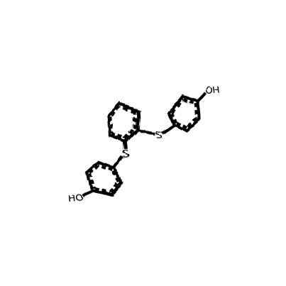 Oc1ccc(Sc2ccccc2Sc2ccc(O)cc2)cc1